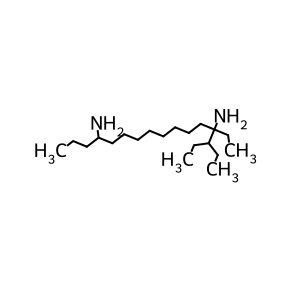 CCCC(N)CCCCCCCCC(N)(CC)C(CC)CC